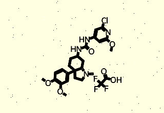 COc1cc(NC(=O)NC2CCC3(c4ccc(OC)c(OC)c4)CCN(C)C3C2)cc(Cl)n1.O=C(O)C(F)(F)F